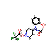 O=C1COc2ccccc2N1C1CCN(OC(=O)C(F)(F)F)CC1